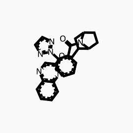 O=C(c1ccccc1-n1nccn1)N1C2CCC1C(COc1cnc3ccccc3n1)C2